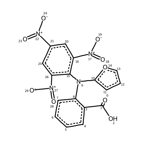 O=C(O)c1ccccc1N(c1ccco1)c1c([N+](=O)[O-])cc([N+](=O)[O-])cc1[N+](=O)[O-]